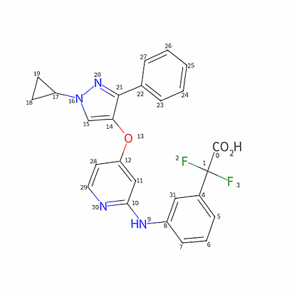 O=C(O)C(F)(F)c1cccc(Nc2cc(Oc3cn(C4CC4)nc3-c3ccccc3)ccn2)c1